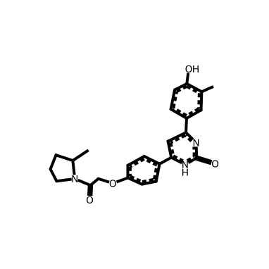 Cc1cc(-c2cc(-c3ccc(OCC(=O)N4CCCC4C)cc3)[nH]c(=O)n2)ccc1O